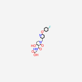 O=C(O)CNC(=O)C1=C(O)CCN(Cc2ccc(Oc3ccc(F)cc3)nc2)C1=O